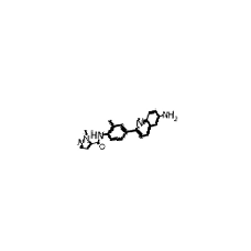 Cc1cc(-c2ccc3cc(N)ccc3n2)ccc1NC(=O)c1ccnn1C